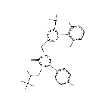 CC(F)(F)c1nc(Cn2nc(-c3ccc(Cl)cc3)n(CC(O)C(F)(F)F)c2=O)nn1-c1c(F)cccc1Cl